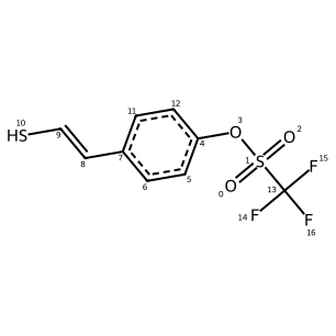 O=S(=O)(Oc1ccc(/C=C/S)cc1)C(F)(F)F